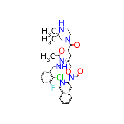 CC(=O)N(NCc1cccc(F)c1Cl)[C@@H](CCC(=O)N1CCNC(C)(C)C1)CON(C=O)c1cc2ccccc2cn1